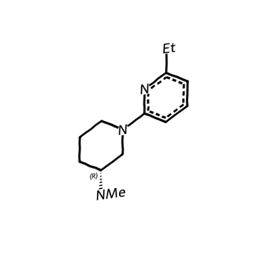 CCc1cccc(N2CCC[C@@H](NC)C2)n1